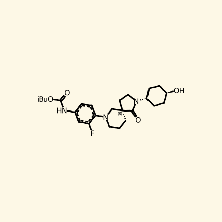 CC(C)COC(=O)Nc1ccc(N2CCC[C@@]3(CCN([C@H]4CC[C@H](O)CC4)C3=O)C2)c(F)c1